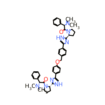 CN(C)[C@@H](C(=O)N1CCC[C@H]1c1nc(-c2ccc(COc3ccc(-c4c[nH]c([C@@H]5CCCN5C(=O)[C@@H](c5ccccc5)N(C)C)n4)cc3)cc2)c[nH]1)c1ccccc1